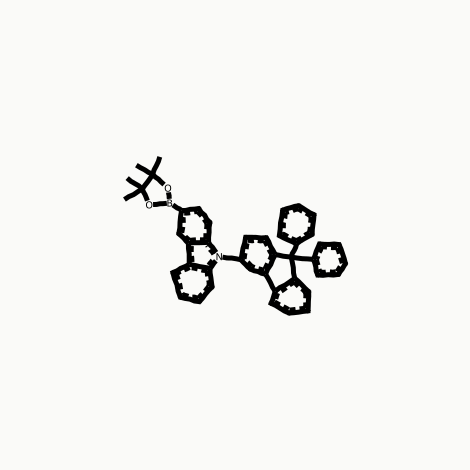 CC1(C)OB(c2ccc3c(c2)c2ccccc2n3-c2ccc3c(c2)-c2ccccc2C3(c2ccccc2)c2ccccc2)OC1(C)C